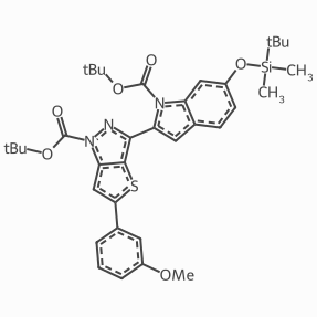 COc1cccc(-c2cc3c(s2)c(-c2cc4ccc(O[Si](C)(C)C(C)(C)C)cc4n2C(=O)OC(C)(C)C)nn3C(=O)OC(C)(C)C)c1